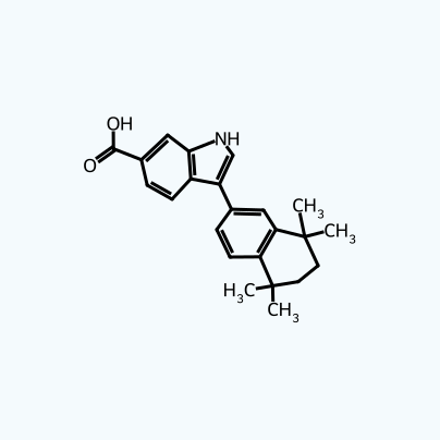 CC1(C)CCC(C)(C)c2cc(-c3c[nH]c4cc(C(=O)O)ccc34)ccc21